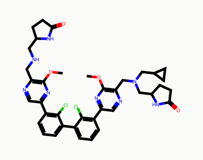 COc1nc(-c2cccc(-c3cccc(-c4cnc(CN(CC5CC5)CC5CCC(=O)N5)c(OC)n4)c3Cl)c2Cl)cnc1CNCC1CCC(=O)N1